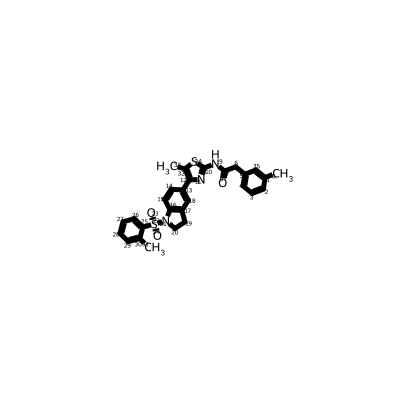 Cc1cccc(CC(=O)Nc2nc(-c3ccc4c(c3)CCN4S(=O)(=O)c3ccccc3C)c(C)s2)c1